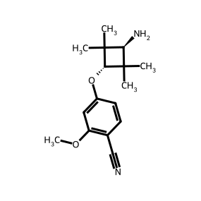 COc1cc(O[C@H]2C(C)(C)[C@H](N)C2(C)C)ccc1C#N